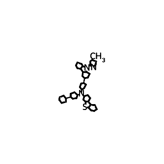 Cc1ccnc(-n2c3ccccc3c3cc(-c4ccc(N(c5ccc(-c6ccccc6)cc5)c5ccc6c(c5)sc5ccccc56)cc4)ccc32)c1